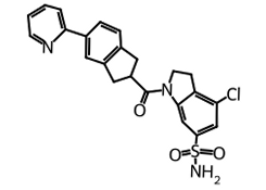 NS(=O)(=O)c1cc(Cl)c2c(c1)N(C(=O)C1Cc3ccc(-c4ccccn4)cc3C1)CC2